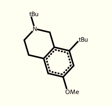 COc1cc2c(c(C(C)(C)C)c1)CN(C(C)(C)C)CC2